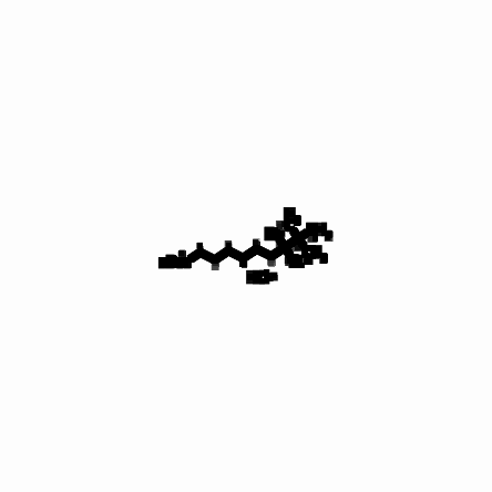 CCCCCCCCCCCCCCCCC(CC)(CC)C(C)(C)N.Cl